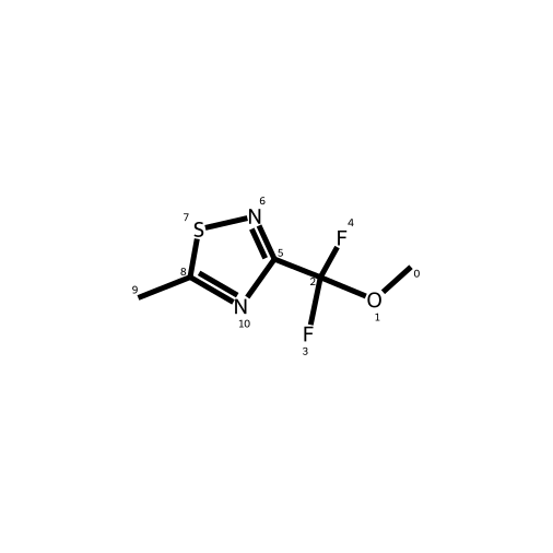 COC(F)(F)c1nsc(C)n1